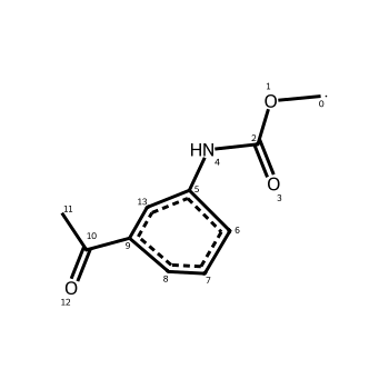 [CH2]OC(=O)Nc1cccc(C(C)=O)c1